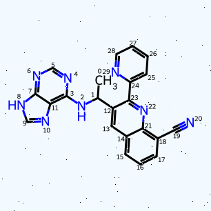 CC(Nc1ncnc2[nH]cnc12)c1cc2cccc(C#N)c2nc1-c1ccccn1